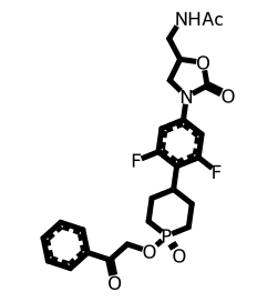 CC(=O)NCC1CN(c2cc(F)c(C3CCP(=O)(OCC(=O)c4ccccc4)CC3)c(F)c2)C(=O)O1